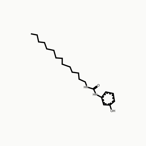 CCCCCCCCCCCCCCNC(=O)Nc1cccc(O)c1